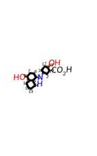 O=C(O)c1cc(Nc2ccc(O)c3ccccc23)ccc1O